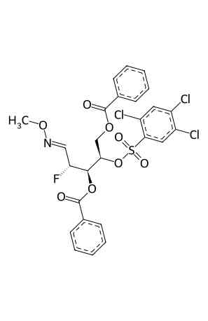 CON=C[C@@H](F)[C@H](OC(=O)c1ccccc1)[C@@H](COC(=O)c1ccccc1)OS(=O)(=O)c1cc(Cl)c(Cl)cc1Cl